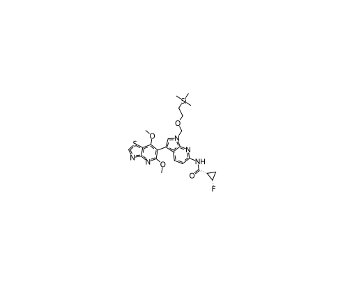 COc1nc2ncsc2c(OC)c1-c1cn(COCC[Si](C)(C)C)c2nc(NC(=O)[C@@H]3C[C@@H]3F)ccc12